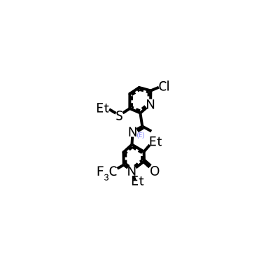 CCSc1ccc(Cl)nc1/C(C)=N/c1cc(C(F)(F)F)n(CC)c(=O)c1CC